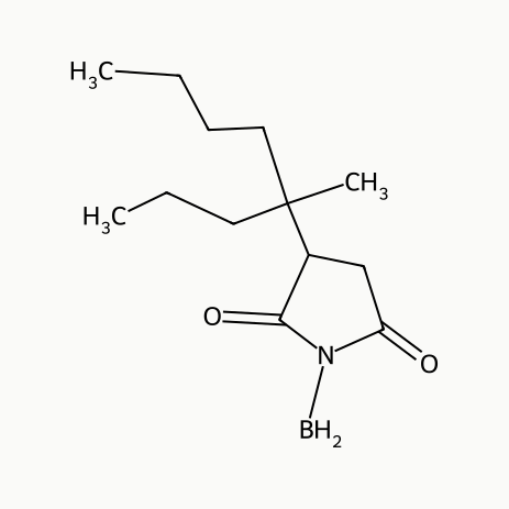 BN1C(=O)CC(C(C)(CCC)CCCC)C1=O